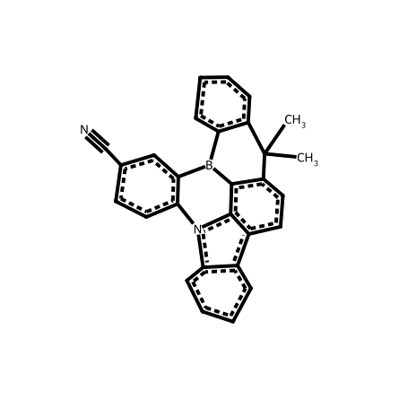 CC1(C)c2ccccc2B2c3cc(C#N)ccc3-n3c4ccccc4c4ccc1c2c43